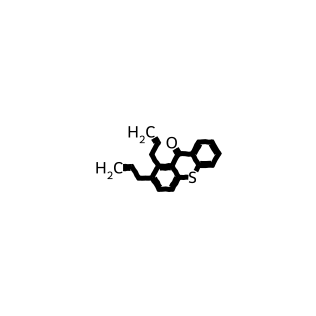 C=CCc1ccc2sc3ccccc3c(=O)c2c1CC=C